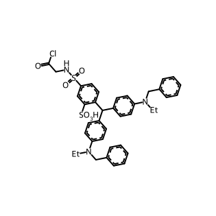 CCN(Cc1ccccc1)c1ccc(C(c2ccc(N(CC)Cc3ccccc3)cc2)c2ccc(S(=O)(=O)NCC(=O)Cl)cc2S(=O)(=O)O)cc1